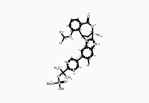 COP(=O)(O)OC(C)(C)c1ncc(-c2cc3c(cc2F)nc2n3C3C[C@H]2OC(=O)c2cccc(OC(F)F)c23)cn1